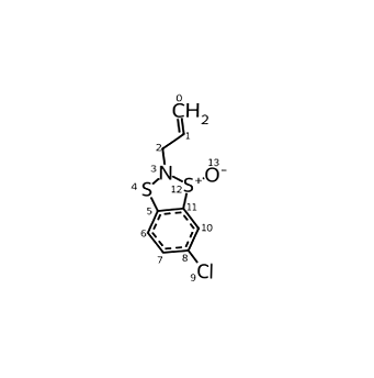 C=CCN1Sc2ccc(Cl)cc2[S+]1[O-]